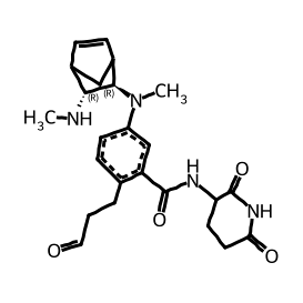 CN[C@@H]1C2C=CC(C2)[C@H]1N(C)c1ccc(CCC=O)c(C(=O)NC2CCC(=O)NC2=O)c1